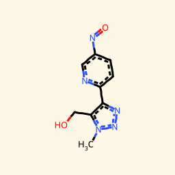 Cn1nnc(-c2ccc(N=O)cn2)c1CO